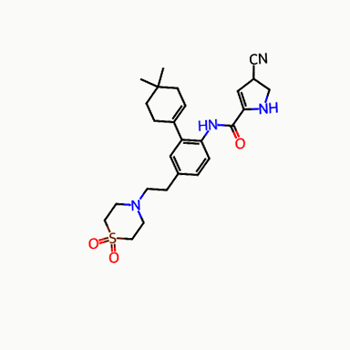 CC1(C)CC=C(c2cc(CCN3CCS(=O)(=O)CC3)ccc2NC(=O)C2=CC(C#N)CN2)CC1